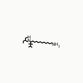 CCC(CC)CNC(CCCCCCCCCCCN)C(C)(C)C(C)C